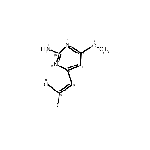 COc1cc(C=C(Cl)Cl)nc(N)n1